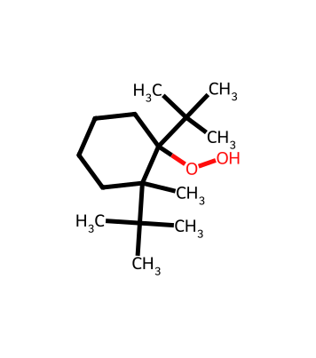 CC(C)(C)C1(C)CCCCC1(OO)C(C)(C)C